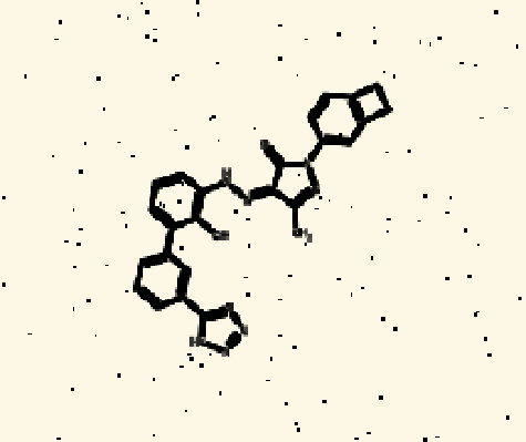 CC1=NN(c2ccc3c(c2)CC3)C(=O)/C1=N\Nc1cccc(-c2cccc(-c3nnn[nH]3)c2)c1O